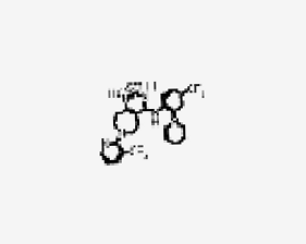 FC(F)(F)c1ccc(Nc2ncnc3c2CCN(c2ncccc2C(F)(F)F)CC3)c(N2CCCCC2)c1.O=S(=O)(O)O